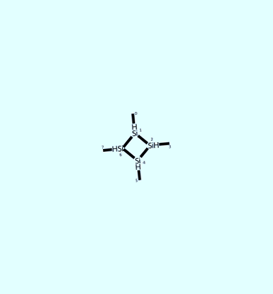 C[SiH]1[SiH](C)[SiH](C)[SiH]1C